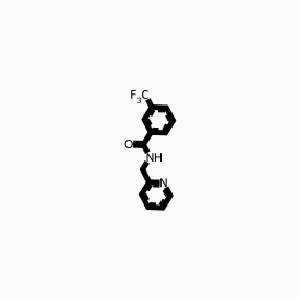 O=C(NCc1ccccn1)c1cccc(C(F)(F)F)c1